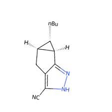 CCCC[C@H]1[C@@H]2Cc3c(n[nH]c3C#N)[C@H]12